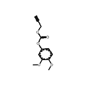 C#CCOC(=O)Oc1ccc(OC)c(OC)c1